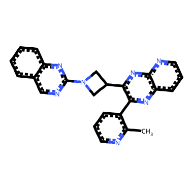 Cc1ncccc1-c1nc2cccnc2nc1C1CN(c2ncc3ccccc3n2)C1